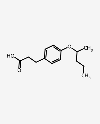 CCCC(C)Oc1ccc(CCC(=O)O)cc1